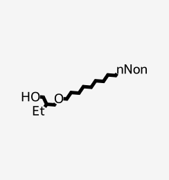 CCCCCCCCCCCCCCCCCCOCC(CC)CO